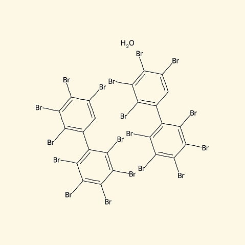 Brc1cc(-c2c(Br)c(Br)c(Br)c(Br)c2Br)c(Br)c(Br)c1Br.Brc1cc(-c2c(Br)c(Br)c(Br)c(Br)c2Br)c(Br)c(Br)c1Br.O